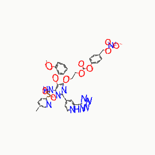 COc1ccccc1Oc1c(NS(=O)(=O)c2ccc(C)cn2)nc(-c2ccnc(-c3nnn[nH]3)c2)nc1OCCOC(=O)Oc1ccc(CO[N+](=O)[O-])cc1